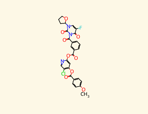 COc1ccc(C(=O)Oc2cc(OC(=O)c3cccc(C(=O)n4c(=O)c(F)cn(C5CCCO5)c4=O)c3)ncc2Cl)cc1